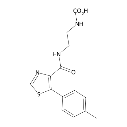 Cc1ccc(-c2scnc2C(=O)NCCNC(=O)O)cc1